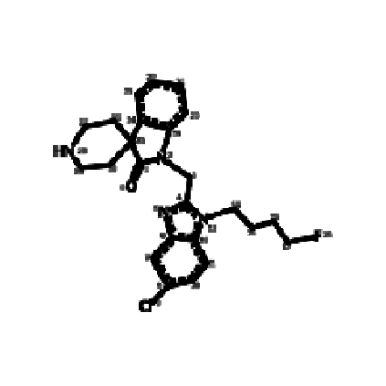 O=C1N(Cc2nc3cc(Cl)ccc3n2CCCCF)c2ccccc2C12CCNCC2